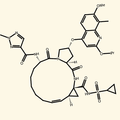 COc1ccc2c(O[C@@H]3C[C@H]4C(=O)N[C@]5(C(=O)NS(=O)(=O)C6CC6)C[C@H]5/C=C\CCCCC[C@H](NC(=O)c5cnn(C)n5)C(=O)N4C3)cc(OC(C)C)nc2c1C